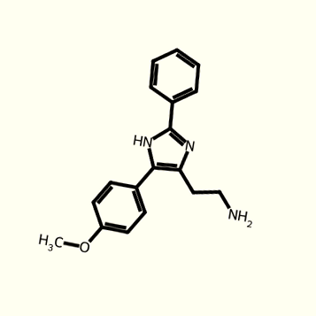 COc1ccc(-c2[nH]c(-c3ccccc3)nc2CCN)cc1